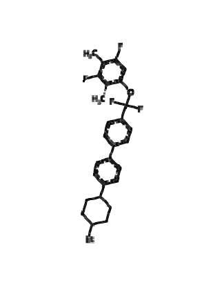 CCC1CCC(c2ccc(-c3ccc(C(F)(F)Oc4cc(F)c(C)c(F)c4C)cc3)cc2)CC1